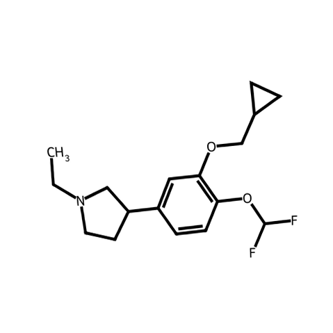 CCN1CCC(c2ccc(OC(F)F)c(OCC3CC3)c2)C1